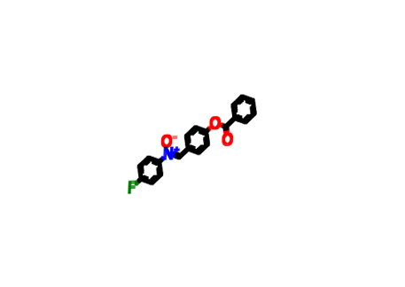 O=C(Oc1ccc(/C=[N+](\[O-])c2ccc(F)cc2)cc1)c1ccccc1